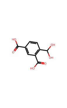 O=C(O)c1ccc(C(O)O)c(C(=O)O)c1